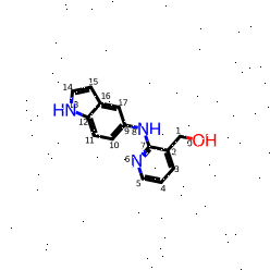 OCc1cccnc1Nc1ccc2[nH]ccc2c1